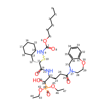 CCCCCCOC(=O)NS[C@@H](CC1CCCCC1)C(=O)N[C@@H](CCC(=O)N1CCOc2ccccc2C1)C(O)P(=O)(OCC)OCC